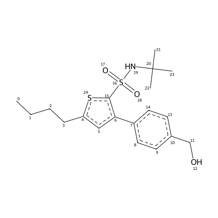 CCCCc1cc(-c2ccc(CO)cc2)c(S(=O)(=O)NC(C)(C)C)s1